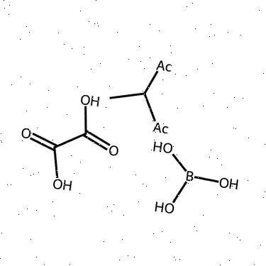 CC(=O)C(C)C(C)=O.O=C(O)C(=O)O.OB(O)O